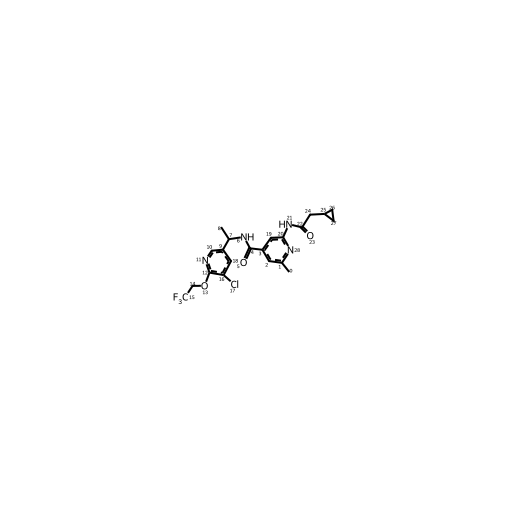 Cc1cc(C(=O)NC(C)c2cnc(OCC(F)(F)F)c(Cl)c2)cc(NC(=O)CC2CC2)n1